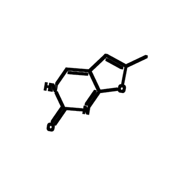 Cc1cc2c[nH]c(=O)nc2o1